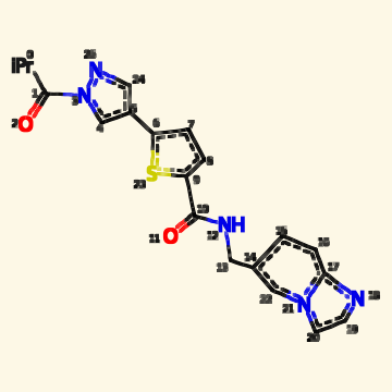 CC(C)C(=O)n1cc(-c2ccc(C(=O)NCc3ccc4nccn4c3)s2)cn1